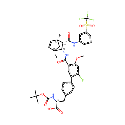 COc1cc(F)c(-c2ccc(C[C@H](NC(=O)OC(C)(C)C)C(=O)O)cc2)cc1C(=O)N[C@H]1[C@@H](C(=O)Nc2cccc(S(=O)(=O)C(F)(F)F)c2)[C@@H]2C=C[C@H]1C2